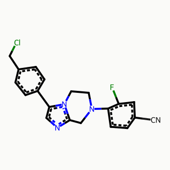 N#Cc1ccc(N2CCn3c(-c4ccc(CCl)cc4)cnc3C2)c(F)c1